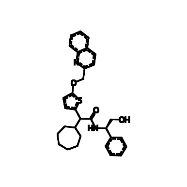 O=C(N[C@@H](CO)c1ccccc1)C(c1ccc(OCc2ccc3ccccc3n2)s1)C1CCCCCC1